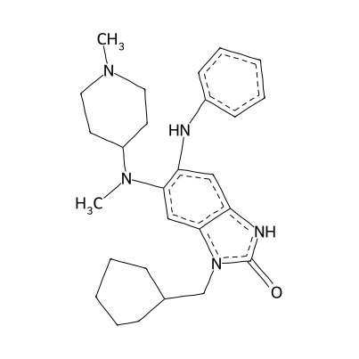 CN1CCC(N(C)c2cc3c(cc2Nc2ccccc2)[nH]c(=O)n3CC2CCCCC2)CC1